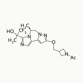 CC(=O)N1CC(COc2cc3n(n2)C[C@H](C)n2c-3cnc2C(C)(O)C(F)(F)F)C1